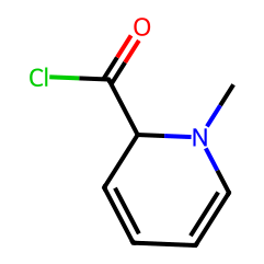 CN1C=CC=CC1C(=O)Cl